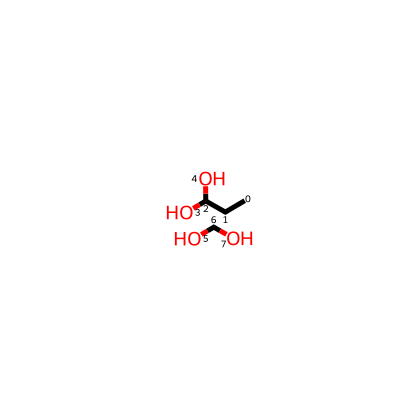 CCC(O)O.OCO